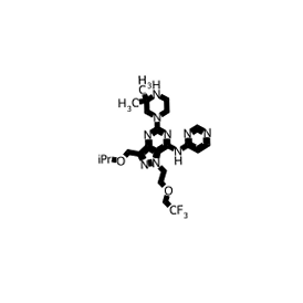 CC(C)OCc1nn(CCOCC(F)(F)F)c2c(Nc3ccncn3)nc(N3CCNC(C)(C)C3)nc12